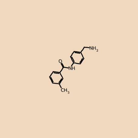 Cc1cccc(C(=O)Nc2ccc(CN)cc2)c1